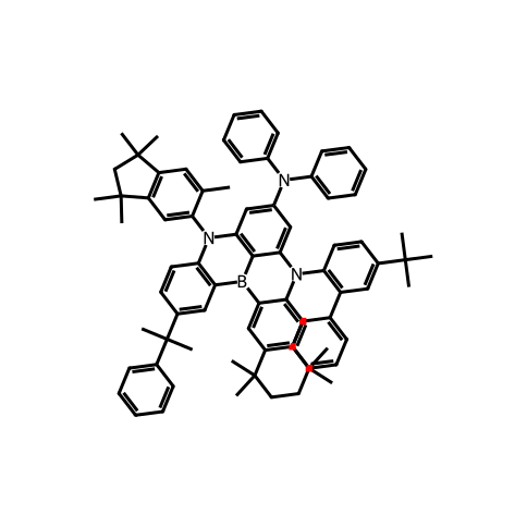 Cc1cc2c(cc1N1c3ccc(C(C)(C)c4ccccc4)cc3B3c4cc5c(cc4N(c4ccc(C(C)(C)C)cc4-c4ccccc4)c4cc(N(c6ccccc6)c6ccccc6)cc1c43)C(C)(C)CCC5(C)C)C(C)(C)CC2(C)C